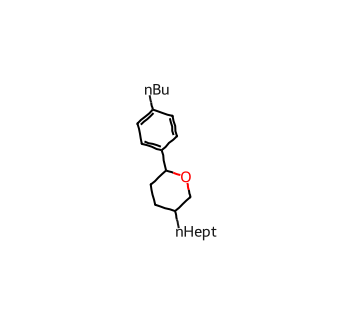 CCCCCCCC1CCC(c2ccc(CCCC)cc2)OC1